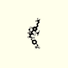 CCn1nc(C(=O)NC[C@H]2CC[C@H](C[SH](=O)=O)CC2)c(Cl)c1-c1ccc(CCCC(F)(F)F)cc1OC(F)F